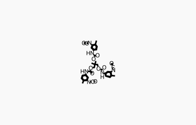 Cc1ccc(NC(=O)OCC(C)(COC(=O)Nc2ccc(C)c(N=C=O)c2)COC(=O)Nc2ccc(C)c(N=C=O)c2)cc1N=C=O